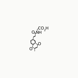 CC1=CC(=O)c2cc(C=CC(=O)NCC(=O)O)ccc2C1=O